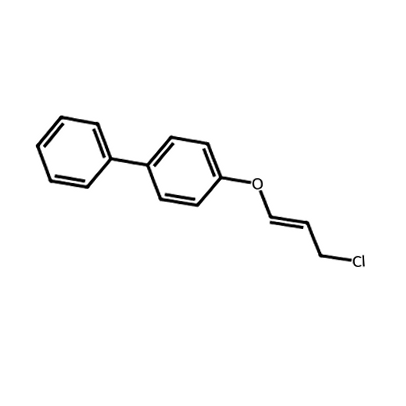 ClCC=COc1ccc(-c2ccccc2)cc1